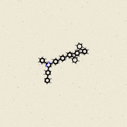 c1ccc(-c2ccc(-c3cc(-c4ccc(-c5ccc(-c6ccc7c(c6)C6(CCCCC6)c6cc8c(cc6-7)C6(CCCCC6)c6ccccc6-8)cc5)cc4)nc(-c4ccccc4)n3)cc2)cc1